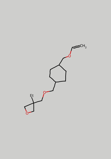 C=COCC1CCC(COCC2(CC)COC2)CC1